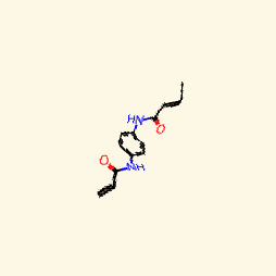 C=CC(=O)Nc1ccc(NC(=O)/C=C/C)cc1